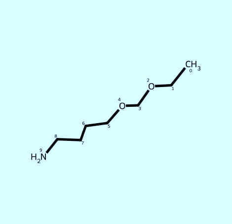 CCOCOCCCCN